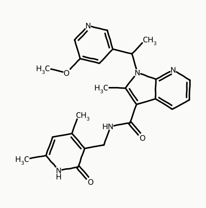 COc1cncc(C(C)n2c(C)c(C(=O)NCc3c(C)cc(C)[nH]c3=O)c3cccnc32)c1